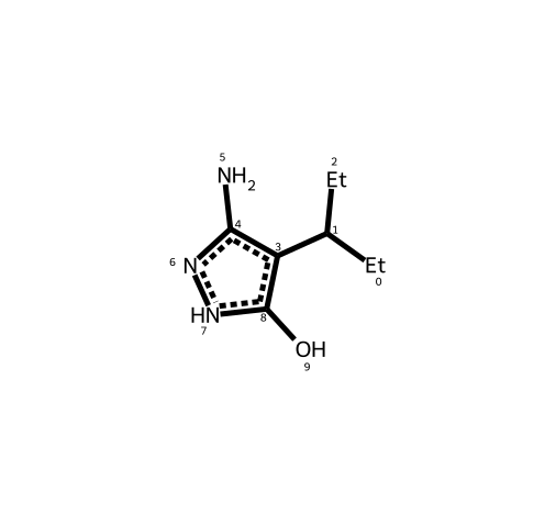 CCC(CC)c1c(N)n[nH]c1O